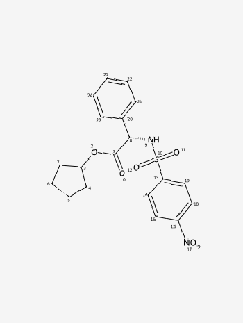 O=C(OC1CCCC1)[C@@H](NS(=O)(=O)c1ccc([N+](=O)[O-])cc1)c1ccccc1